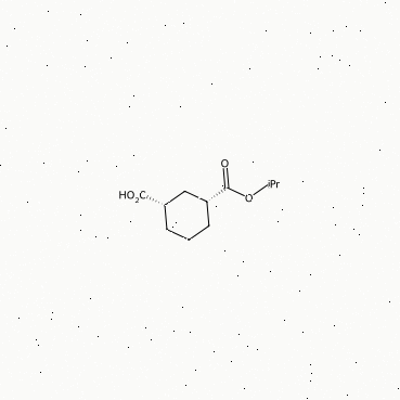 CC(C)OC(=O)[C@@H]1CCC[C@H](C(=O)O)C1